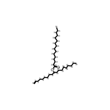 C=CCCCCCCCC(CCCCCCCCC)OC(=O)CCCCCCCCCCCCCCC